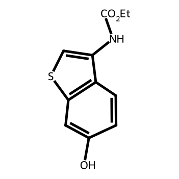 CCOC(=O)Nc1csc2cc(O)ccc12